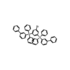 Brc1cc([Si](c2ccccc2)(c2ccccc2)c2cccc(-c3ccccc3)c2)cc([Si](c2ccccc2)(c2ccccc2)c2cccc(-c3ccccc3)c2)c1